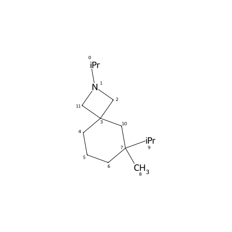 CC(C)N1CC2(CCCC(C)(C(C)C)C2)C1